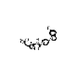 COC(=O)Cc1cnc(NC(=O)N2CCC(N3CCc4ccc(F)cc43)CC2)s1